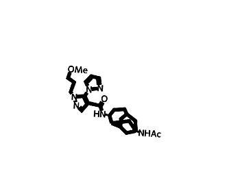 COCCCn1ncc(C(=O)N[C@H]2CCC3CC4C[C@@](NC(C)=O)(C3)CC42)c1-n1cccn1